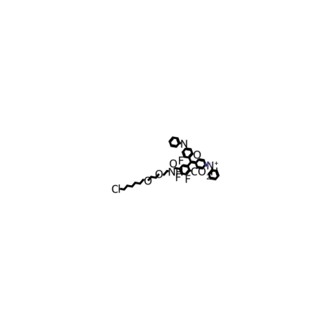 CN(c1ccccc1)c1ccc2c(-c3c(F)c(C(=O)NCCOCCOCCCCCCCl)c(F)c(F)c3C(=O)O)c3cc/c(=[N+](/C)c4ccccc4)cc-3oc2c1